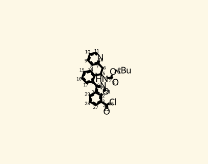 CC(C)(C)OC(=O)NC(Cc1ccccn1)c1ccccc1-c1noc2c(C(=O)Cl)cccc12